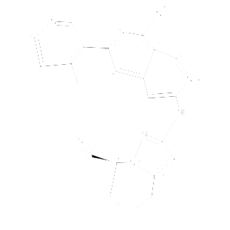 Cc1ccncc1-c1cc2cc(Nc3cc4n(n3)[C@H](C#N)COC4)ncc2c(N)n1